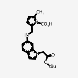 Cc1ccc(CNc2ccc3ccn(CC(=O)OC(C)(C)C)c3c2)n1C(=O)O